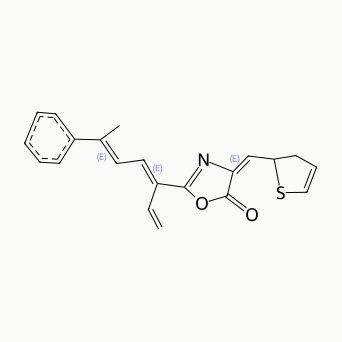 C=C/C(=C\C=C(/C)c1ccccc1)C1=N/C(=C/C2CC=CS2)C(=O)O1